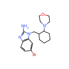 Nc1nc2ccc(Br)cc2n1CC1CCCCC1N1CCOCC1